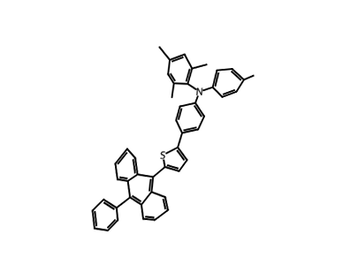 Cc1ccc(N(c2ccc(-c3ccc(-c4c5ccccc5c(-c5ccccc5)c5ccccc45)s3)cc2)c2c(C)cc(C)cc2C)cc1